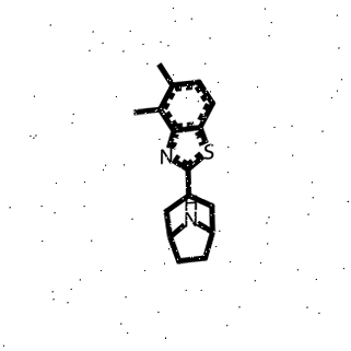 Cc1ccc2sc(C3CC4CCC(C3)N4)nc2c1C